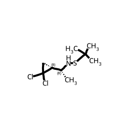 C[C@@H](NSC(C)(C)C)[C@H]1CC1(Cl)Cl